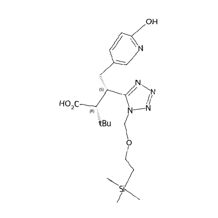 CC(C)(C)[C@H](C(=O)O)[C@H](Cc1ccc(O)nc1)c1nnnn1COCC[Si](C)(C)C